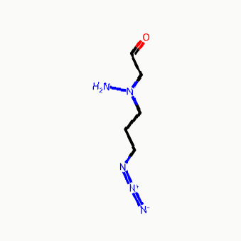 [N-]=[N+]=NCCCN(N)CC=O